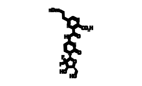 CCCCCCCCCCCCc1cnc(C(=O)O)c(C(=O)Nc2ccn([C@@H]3O[C@H](CO)[C@@H](O)C3(F)F)c(=O)n2)n1